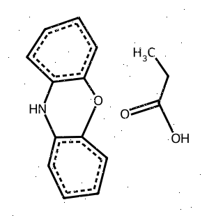 CCC(=O)O.c1ccc2c(c1)Nc1ccccc1O2